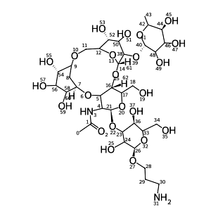 CC(=O)NC1C2O[C@@H]3CC(OCC4O[C@@H](O[C@@H]2C(CO)O[C@H]1OC1C(O)[C@H](OCCCN)OC(CO)[C@@H]1O)C(O[C@@H]1OC(C)[C@@H](O)C(O)C1O)C(O)[C@H]4O)[C@@H](O)C(O)C3O